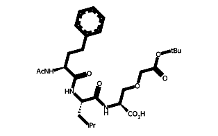 CC(=O)N[C@@H](CCc1ccccc1)C(=O)N[C@@H](CC(C)C)C(=O)N[C@@H](COCC(=O)OC(C)(C)C)C(=O)O